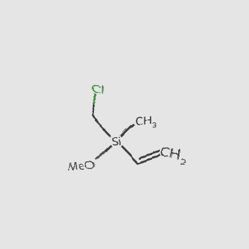 C=C[Si](C)(CCl)OC